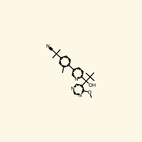 COc1ncncc1C(O)(c1ccc(-c2ccc(C(C)(C)C#N)cc2C)cn1)C(C)(C)C